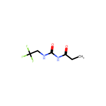 CCC(=O)NC(=O)NCC(F)(F)F